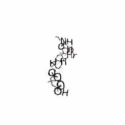 C=C(C)[C@@H]1CC[C@]2(CC(=O)NCCC)CC[C@]3(C)[C@H](CC[C@@H]4[C@@]5(C)CC[C@H](OC(=O)CC(C)(C)CC(=O)O)C(C)(C)[C@@H]5CC[C@]43C)[C@@H]12